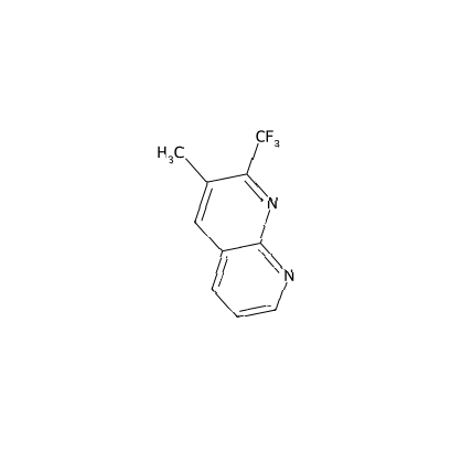 Cc1cc2cccnc2nc1C(F)(F)F